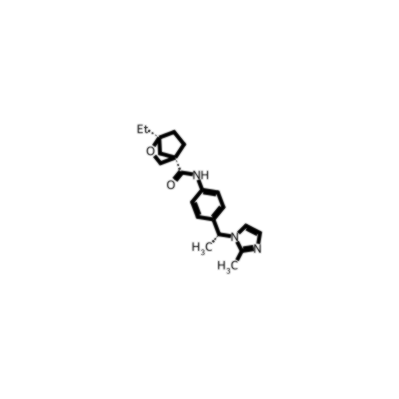 CC[C@@]12CC[C@@](C(=O)Nc3ccc([C@@H](C)n4ccnc4C)cc3)(CO1)C2